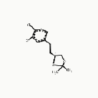 CC1(C)OC[C@H](CCc2cnc(Cl)c(Cl)c2)O1